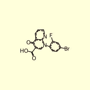 O=C(O)c1cn(-c2ccc(Br)cc2F)c2ncccc2c1=O